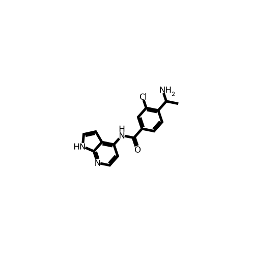 CC(N)c1ccc(C(=O)Nc2ccnc3[nH]ccc23)cc1Cl